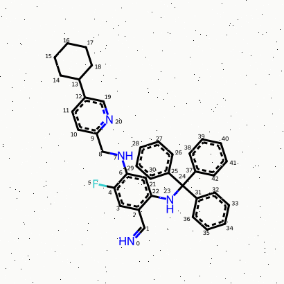 N=Cc1cc(F)c(NCc2ccc(C3CCCCC3)cn2)cc1NC(c1ccccc1)(c1ccccc1)c1ccccc1